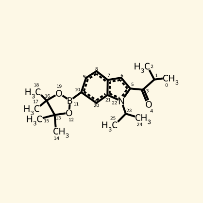 CC(C)C(=O)c1cc2ccc(B3OC(C)(C)C(C)(C)O3)cc2n1C(C)C